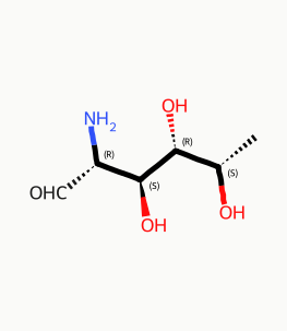 C[C@H](O)[C@@H](O)[C@@H](O)[C@@H](N)C=O